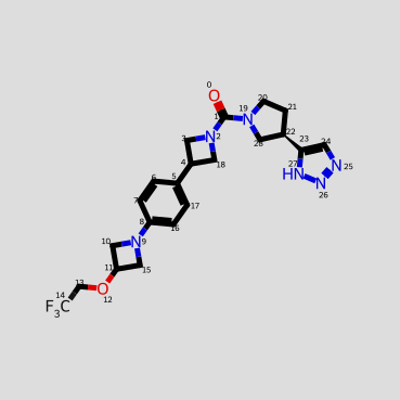 O=C(N1CC(c2ccc(N3CC(OCC(F)(F)F)C3)cc2)C1)N1CC[C@@H](c2cnn[nH]2)C1